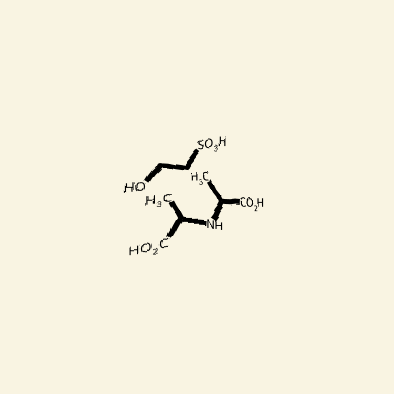 CC(NC(C)C(=O)O)C(=O)O.O=S(=O)(O)CCO